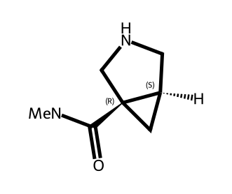 CNC(=O)[C@@]12CNC[C@H]1C2